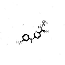 CNNC(=N)c1ccc(Nc2cccc(C)c2)cn1